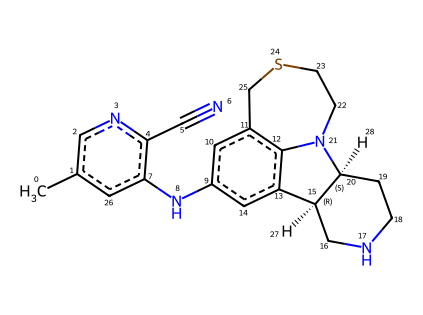 Cc1cnc(C#N)c(Nc2cc3c4c(c2)[C@@H]2CNCC[C@@H]2N4CCSC3)c1